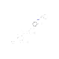 CCC(CC(C)C(=O)OC)C(=O)OCC(O)COc1ccc(/C=C/C(=O)N2CCCCC2)c(O)c1